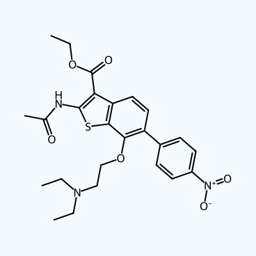 CCOC(=O)c1c(NC(C)=O)sc2c(OCCN(CC)CC)c(-c3ccc([N+](=O)[O-])cc3)ccc12